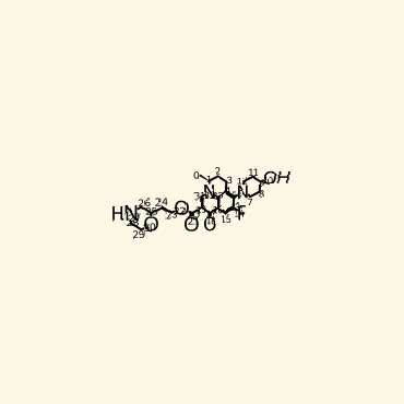 C[C@H]1CCc2c(N3CCC(O)CC3)c(F)cc3c(=O)c(C(=O)OCCC4CNCCO4)cn1c23